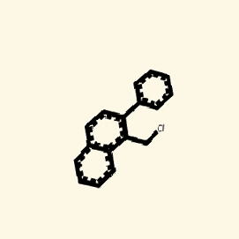 ClCc1c(-c2ccccc2)ccc2ccccc12